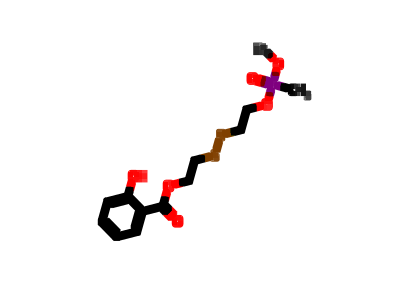 CCOP(C)(=O)OCCSSCCOC(=O)c1ccccc1O